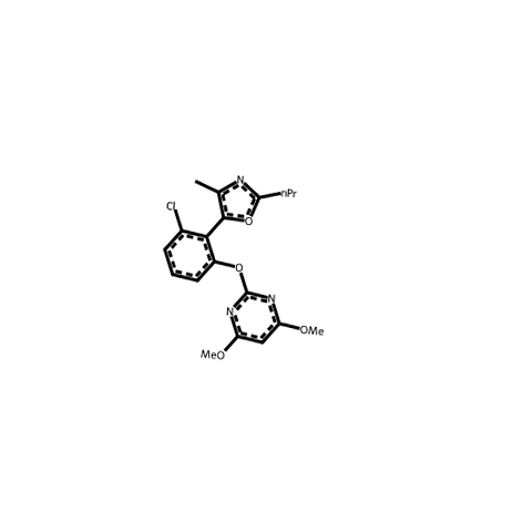 CCCc1nc(C)c(-c2c(Cl)cccc2Oc2nc(OC)cc(OC)n2)o1